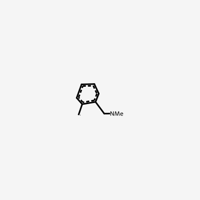 [CH2]c1ccccc1CNC